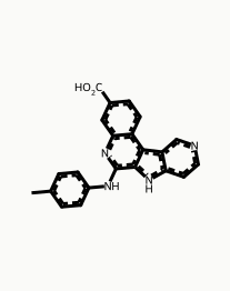 Cc1ccc(Nc2nc3cc(C(=O)O)ccc3c3c2[nH]c2ccncc23)cc1